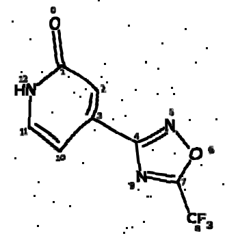 O=c1cc(-c2noc(C(F)(F)F)n2)cc[nH]1